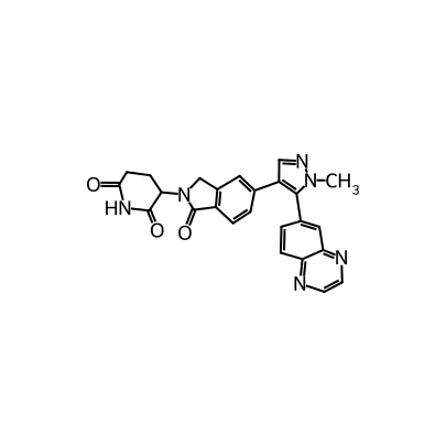 Cn1ncc(-c2ccc3c(c2)CN(C2CCC(=O)NC2=O)C3=O)c1-c1ccc2nccnc2c1